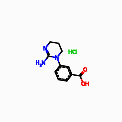 Cl.NC1=NCCCN1c1cccc(C(=O)O)c1